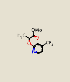 COC(=O)C(C)Oc1cc(C(F)(F)F)ccn1